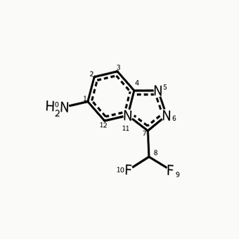 Nc1ccc2nnc(C(F)F)n2c1